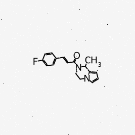 CC1c2cccn2CCN1C(=O)/C=C/c1ccc(F)cc1